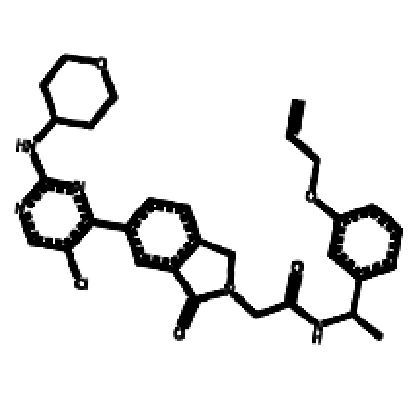 C=CCOc1cccc(C(C)NC(=O)CN2Cc3ccc(-c4nc(NC5CCOCC5)ncc4Cl)cc3C2=O)c1